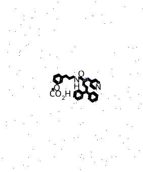 O=C(O)COc1cccc(CCCNC(=O)/C(=C/c2ccncc2)CCC(c2ccccc2)c2ccccc2)c1